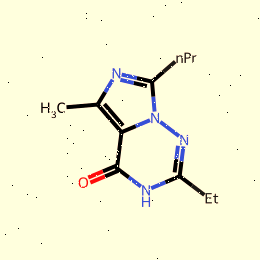 CCCc1nc(C)c2c(=O)[nH]c(CC)nn12